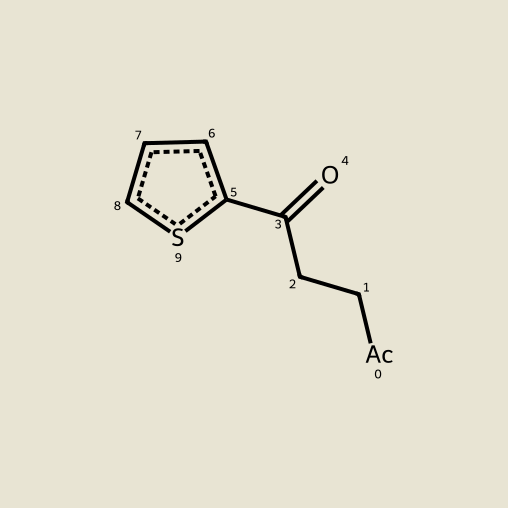 CC(=O)CCC(=O)c1cccs1